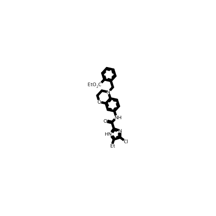 CCOC(=O)c1ccccc1CN1CCOc2cc(NC(=O)c3nc(Cl)c(CC)[nH]3)ccc21